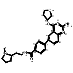 CN1CCCC1CCNC(=O)c1ccc(-c2ccc3nc(N)nc(O[C@@H]4CCOC4)c3c2)cc1